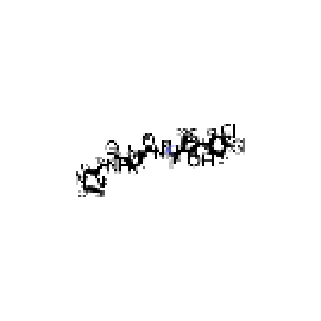 C/C(=N\NC(=O)c1ccc(C(=O)NCc2cnccn2)s1)c1csc(-c2ccc(Cl)c(Cl)c2)c1O